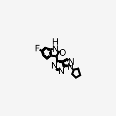 O=C1Nc2cc(F)ccc2C1c1ncnc2c1cnn2C1CCCC1